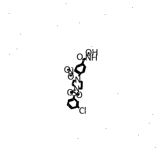 O=C(NO)c1ccc(N2CCN(S(=O)(=O)c3cccc(Cl)c3)CC2)c([N+](=O)[O-])c1